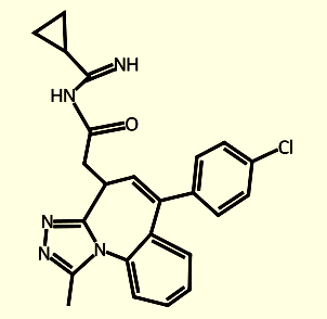 Cc1nnc2n1-c1ccccc1C(c1ccc(Cl)cc1)=CC2CC(=O)NC(=N)C1CC1